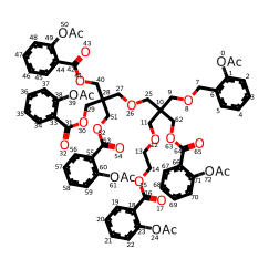 CC(=O)Oc1ccccc1COCC(COCCOC(=O)c1ccccc1OC(C)=O)(COCC(COC(=O)c1ccccc1OC(C)=O)(COC(=O)c1ccccc1OC(C)=O)COC(=O)c1ccccc1OC(C)=O)COC(=O)c1ccccc1OC(C)=O